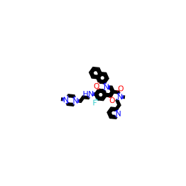 CN1CCN(CCCNc2c(F)cc3c(=O)c(C(=O)N(C)CCc4ccccn4)cn4c3c2Oc2c-4ccc3ccccc23)CC1